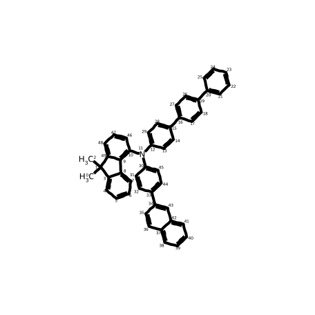 CC1(C)c2ccccc2-c2c(N(c3ccc(-c4ccc(-c5ccccc5)cc4)cc3)c3ccc(-c4ccc5ccccc5c4)cc3)cccc21